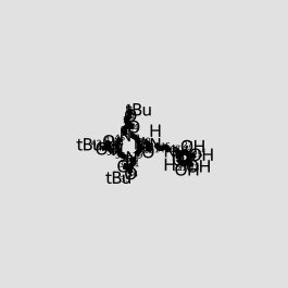 CC(C)(C)OCC(=O)CN1CCN(CC(=O)NCCNCC2O[C@@H](O)C(O)C(O)[C@@H]2O)CCN(CC(=O)OC(C)(C)C)CCN(CC(=O)OC(C)(C)C)CC1